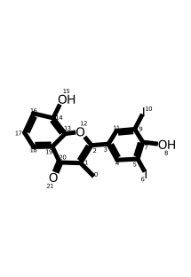 Cc1c(-c2cc(I)c(O)c(I)c2)oc2c(O)cccc2c1=O